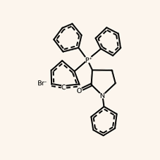 O=C1C([P+](c2ccccc2)(c2ccccc2)c2ccccc2)CCN1c1ccccc1.[Br-]